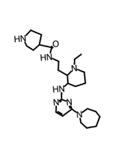 CCN1CCCC(Nc2nccc(N3CCCCCC3)n2)C1CCNC(=O)C1CCNCC1